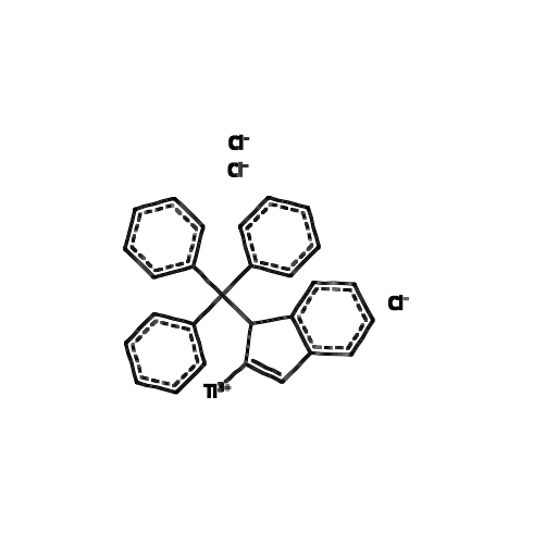 [Cl-].[Cl-].[Cl-].[Ti+3][C]1=Cc2ccccc2C1C(c1ccccc1)(c1ccccc1)c1ccccc1